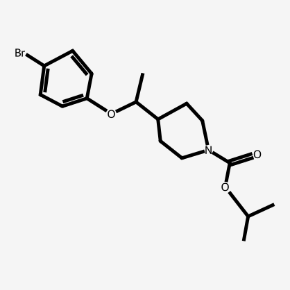 CC(C)OC(=O)N1CCC(C(C)Oc2ccc(Br)cc2)CC1